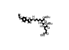 CC(C)(C)OC(=O)CCC(NC(=O)NC(CCCCNc1nc(-c2ccc(N=[N+]=[N-])cc2)cs1)C(=O)OC(C)(C)C)C(=O)OC(C)(C)C